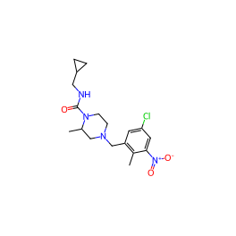 Cc1c(CN2CCN(C(=O)NCC3CC3)C(C)C2)cc(Cl)cc1[N+](=O)[O-]